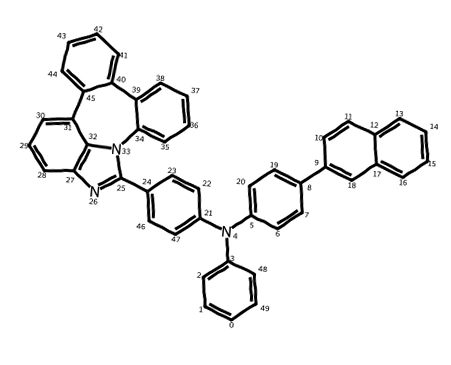 c1ccc(N(c2ccc(-c3ccc4ccccc4c3)cc2)c2ccc(-c3nc4cccc5c4n3-c3ccccc3-c3ccccc3-5)cc2)cc1